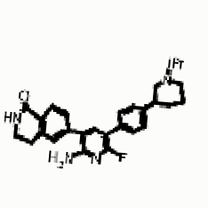 CC(C)N1CCCC(c2ccc(-c3cc(-c4ccc5c(c4)CCNC5=O)c(N)nc3F)cc2)C1